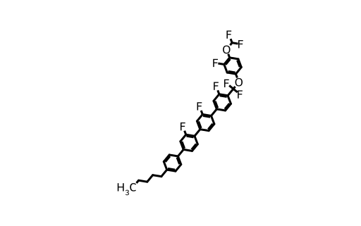 CCCCCc1ccc(-c2ccc(-c3ccc(-c4ccc(C(F)(F)Oc5ccc(OC(F)F)c(F)c5)c(F)c4)c(F)c3)c(F)c2)cc1